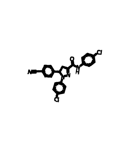 N#Cc1ccc(C2CC(C(=O)Nc3ccc(Cl)cc3)=NN2c2ccc(Cl)cc2)cc1